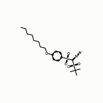 CCCCCCCCOc1ccc(S(=O)(=O)C(=[N+]=[N-])S(=O)(=O)C(C)(C)C)cc1